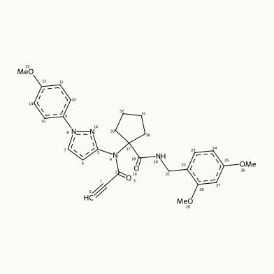 C#CC(=O)N(c1ccn(-c2ccc(OC)cc2)n1)C1(C(=O)NCc2ccc(OC)cc2OC)CCCC1